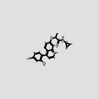 CC(Oc1ccc2c(-c3ccc(F)cc3Cl)ccnc2c1)C(=O)NC1CC1